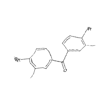 Cc1cc(C(=O)c2ccc(C(C)C)c(C)c2)ccc1C(C)C